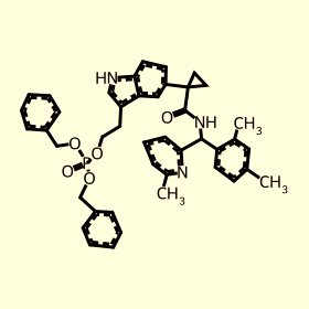 Cc1ccc(C(NC(=O)C2(c3ccc4[nH]cc(CCOP(=O)(OCc5ccccc5)OCc5ccccc5)c4c3)CC2)c2cccc(C)n2)c(C)c1